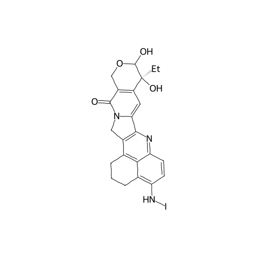 CC[C@]1(O)c2cc3n(c(=O)c2COC1O)Cc1c-3nc2ccc(NI)c3c2c1CCC3